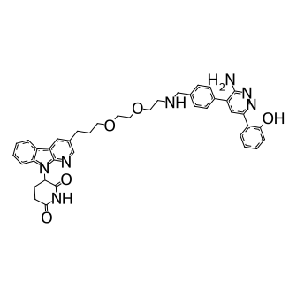 Nc1nnc(-c2ccccc2O)cc1-c1ccc(CNCCOCCOCCCc2cnc3c(c2)c2ccccc2n3C2CCC(=O)NC2=O)cc1